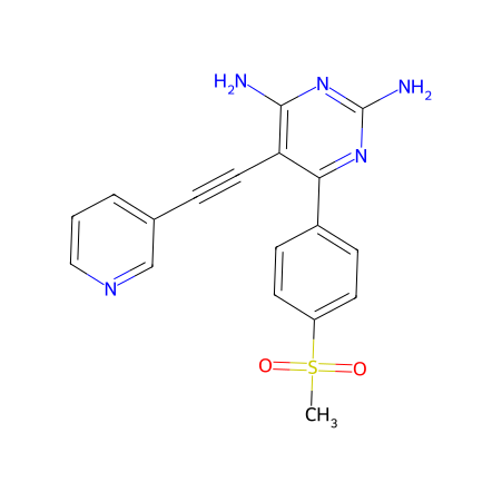 CS(=O)(=O)c1ccc(-c2nc(N)nc(N)c2C#Cc2cccnc2)cc1